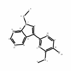 CSc1nc(-c2cn(SI)c3ncncc23)ncc1F